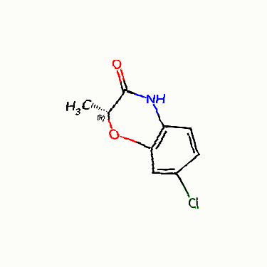 C[C@H]1Oc2cc(Cl)ccc2NC1=O